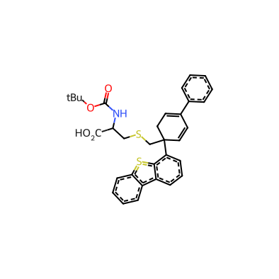 CC(C)(C)OC(=O)NC(CSCC1(c2cccc3c2sc2ccccc23)C=CC(c2ccccc2)=CC1)C(=O)O